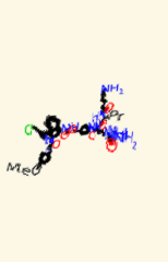 COc1ccc(/C=C/C(=O)N2CC(CCl)c3c2cc(NC(=O)OCc2ccc(NC(=O)C(CCCNC(N)=O)NC(=O)C(NC(=O)CCCCCN)C(C)C)cc2)c2ccccc32)cc1